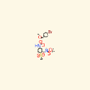 CCO[C@@H](COC(=O)Nc1ccc(S(=O)(=O)C2CC2)c(CN(C)C(=O)OC(C)(C)C)c1)c1ccc(Br)cc1